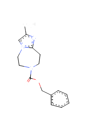 O=C(O)c1cn2c(n1)CCN(C(=O)OCc1ccccc1)CC2